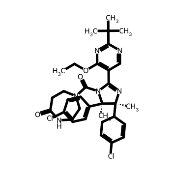 CCOc1nc(C(C)(C)C)ncc1C1=N[C@@](C)(C2C=CC(Cl)=CC2)[C@@](C)(c2ccc(Cl)cc2)N1C(=O)N1CCNC(=O)CC1